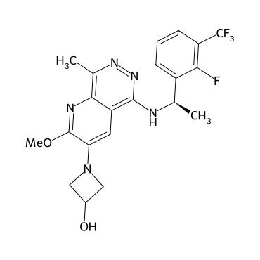 COc1nc2c(C)nnc(N[C@H](C)c3cccc(C(F)(F)F)c3F)c2cc1N1CC(O)C1